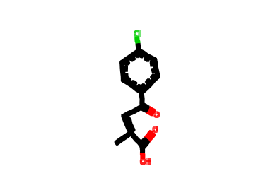 CC(=CC(=O)c1ccc(Cl)cc1)C(=O)O